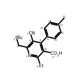 CCc1nc(CC(C)(C)C)c(C#N)c(-c2ccc(C)cc2)c1C(=O)O